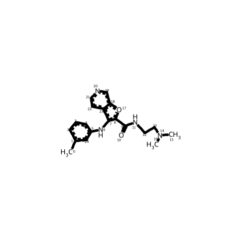 Cc1cccc(Nc2c(C(=O)NCCN(C)C)oc3cnccc23)c1